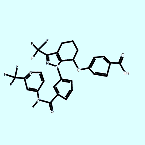 CN(C(=O)c1cccc(-n2nc(C(F)(F)F)c3c2C(Oc2ccc(C(=O)O)cc2)CCC3)c1)c1ccnc(C(F)(F)F)c1